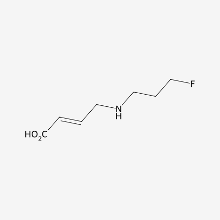 O=C(O)/C=C/CNCCCF